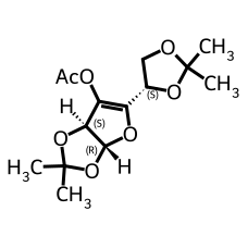 CC(=O)OC1=C([C@@H]2COC(C)(C)O2)O[C@@H]2OC(C)(C)O[C@@H]12